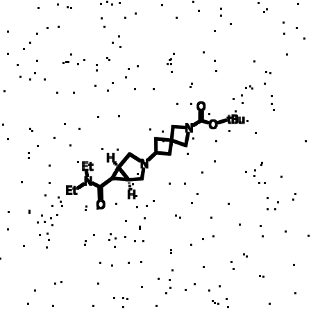 CCN(CC)C(=O)C1[C@H]2CN(C3CC4(C3)CN(C(=O)OC(C)(C)C)C4)C[C@@H]12